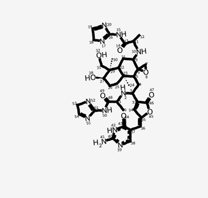 CC(NC(CC1C2(CO2)C(NC(C)C(=O)NC2=NCC=N2)CC2[C@]1(C)CC[C@@H](O)[C@@]2(C)CO)C1=C/C(=C\c2cnc(N)[nH]c2=O)OC1=O)C(=O)NC1=NCC=N1